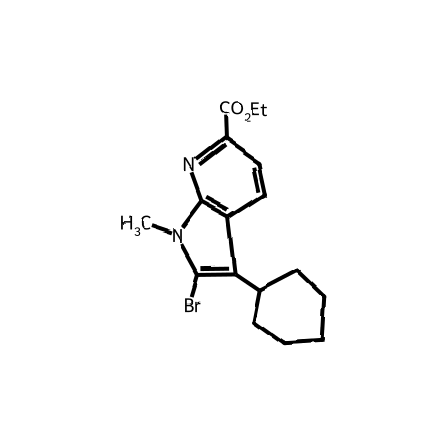 CCOC(=O)c1ccc2c(C3CCCCC3)c(Br)n(C)c2n1